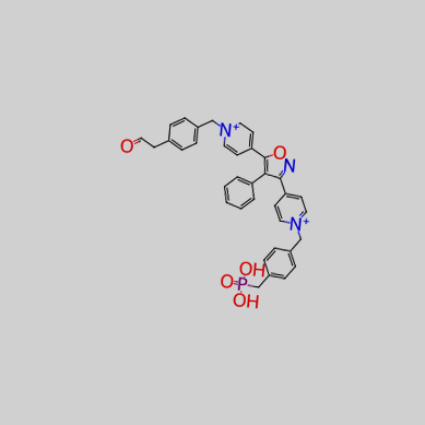 O=CCc1ccc(C[n+]2ccc(-c3onc(-c4cc[n+](Cc5ccc(CP(=O)(O)O)cc5)cc4)c3-c3ccccc3)cc2)cc1